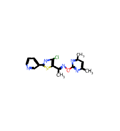 C/C(=N\Oc1nc(C)cc(C)n1)c1sc(-c2cccnc2)nc1Cl